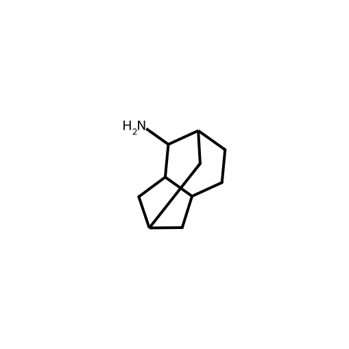 NC1C2CCC3CC(C2)CC31